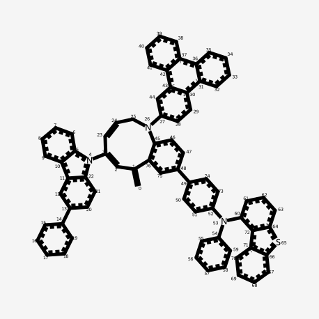 C=C1/C=C(n2c3ccccc3c3cc(-c4ccccc4)ccc32)\C=C/CN(c2ccc3c4ccccc4c4ccccc4c3c2)c2ccc(-c3ccc(N(c4ccccc4)c4cccc5sc6ccccc6c45)cc3)cc21